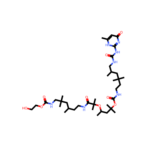 Cc1cc(=O)nc(NC(=O)NCC(C)CC(C)(C)CCNC(=O)OC(C)(C)CC(C)OC(C)(C)C(=O)NCCC(C)CC(C)(C)CNC(=O)OCCO)[nH]1